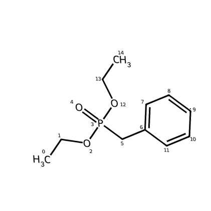 CCOP(=O)(Cc1cc[c]cc1)OCC